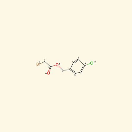 O=C(CBr)OCc1ccc(Cl)cc1